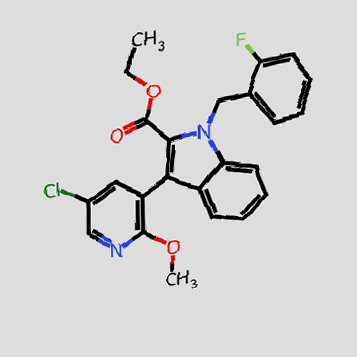 CCOC(=O)c1c(-c2cc(Cl)cnc2OC)c2ccccc2n1Cc1ccccc1F